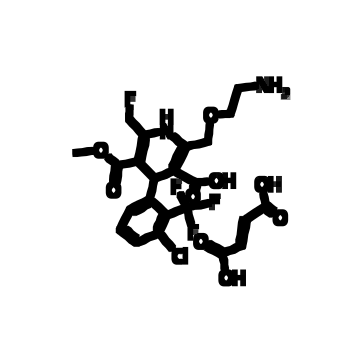 COC(=O)C1=C(CF)NC(COCCN)=C(C(=O)O)C1c1cccc(Cl)c1C(F)(F)F.O=C(O)C=CC(=O)O